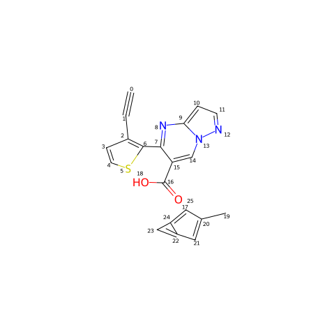 C#Cc1ccsc1-c1nc2ccnn2cc1C(=O)O.Cc1cc2cc-2c1